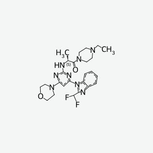 CCN1CCN(C(=O)[C@H](C)Nc2nc(N3CCOCC3)cc(-n3c(C(F)F)nc4ccccc43)n2)CC1